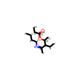 CCCCN=C(C)C(CC)C(C)OC(=O)CC